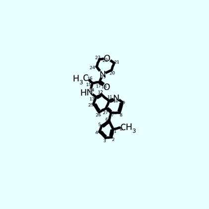 Cc1ccccc1-c1ccnc2cc(NC(C)C(=O)N3CCOCC3)ccc12